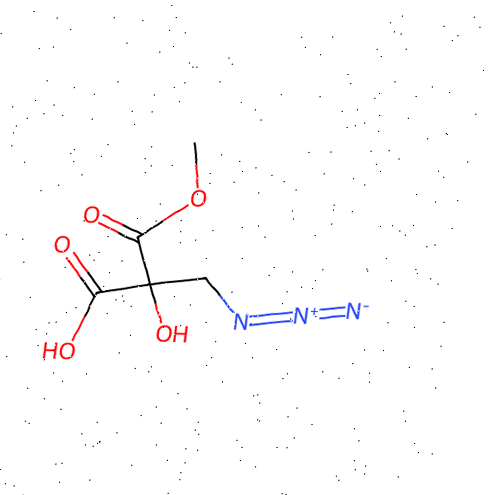 COC(=O)C(O)(CN=[N+]=[N-])C(=O)O